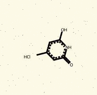 Cc1cc(O)[nH]c(=O)c1.Cl